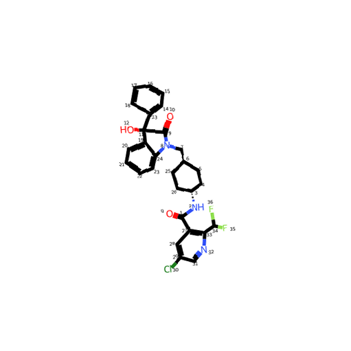 O=C(N[C@H]1CC[C@H](CN2C(=O)C(O)(c3ccccc3)c3ccccc32)CC1)c1cc(Cl)cnc1C(F)F